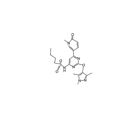 CCCCS(=O)(=O)Nc1cc(-c2ccc(=O)n(C)c2)nc(Oc2c(C)nn(C)c2C)n1